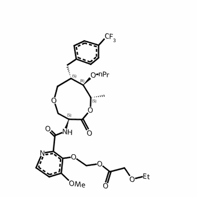 CCCO[C@@H]1[C@@H](Cc2ccc(C(F)(F)F)cc2)COC[C@H](NC(=O)c2nccc(OC)c2OCOC(=O)COCC)C(=O)O[C@H]1C